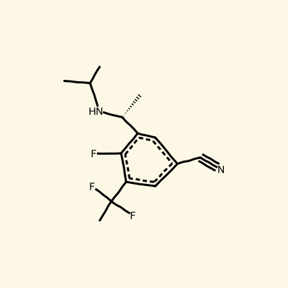 CC(C)N[C@H](C)c1cc(C#N)cc(C(C)(F)F)c1F